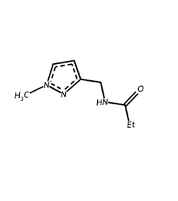 CCC(=O)NCc1ccn(C)n1